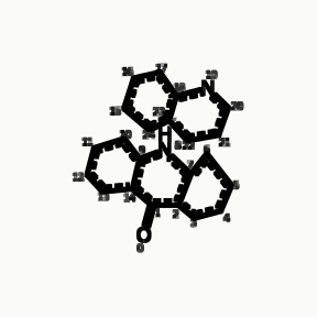 O=c1c2ccccc2[nH]c2ccccc12.c1ccc2ncccc2c1